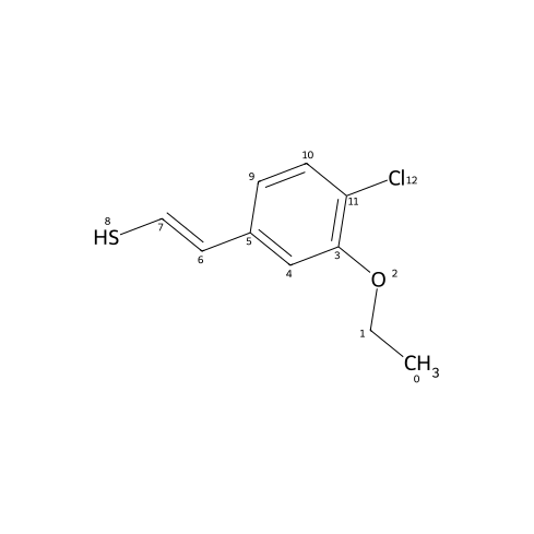 CCOc1cc(/C=C/S)ccc1Cl